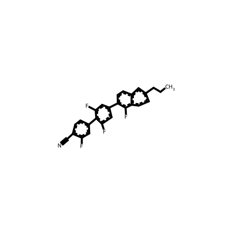 CCCc1ccc2c(F)c(-c3cc(F)c(-c4ccc(C#N)c(F)c4)c(F)c3)ccc2c1